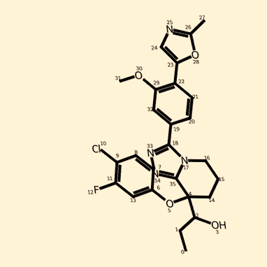 CCC(O)C1(Oc2ccc(Cl)c(F)c2)CCCn2c(-c3ccc(-c4cnc(C)o4)c(OC)c3)nnc21